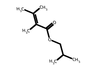 CC(C)=C(C)C(=O)OCC(C)C